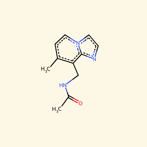 CC(=O)NCc1c(C)ccn2ccnc12